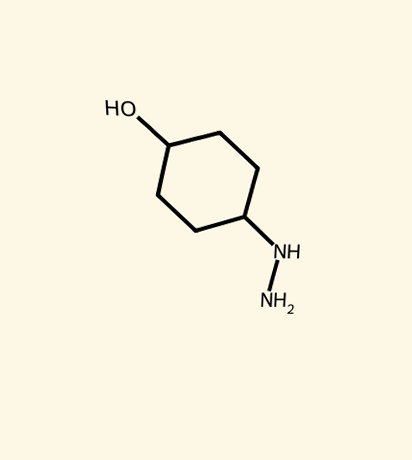 NNC1CCC(O)CC1